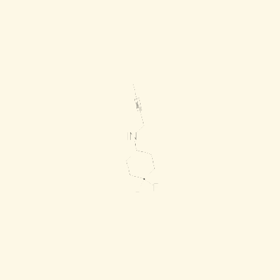 CC#CCNC1CCC(F)(F)CC1